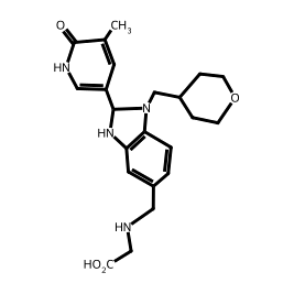 Cc1cc(C2Nc3cc(CNCC(=O)O)ccc3N2CC2CCOCC2)c[nH]c1=O